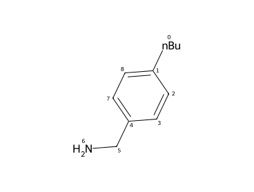 [CH2]CCCc1ccc(CN)cc1